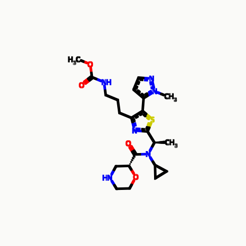 COC(=O)NCCCc1nc([C@@H](C)N(C(=O)[C@H]2CNCCO2)C2CC2)sc1-c1ccnn1C